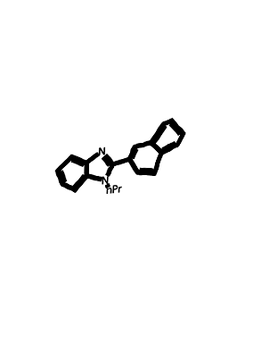 CCCn1c(-c2ccc3ccccc3c2)nc2ccccc21